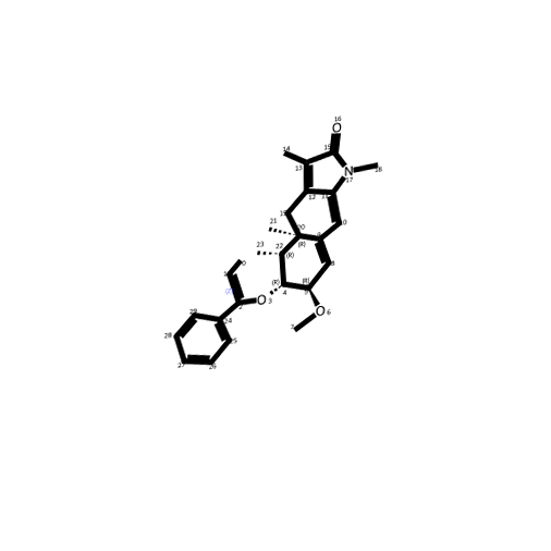 C/C=C(\O[C@H]1[C@H](OC)C=C2C=C3C(=C(C)C(=O)N3C)C[C@]2(C)[C@H]1C)c1ccccc1